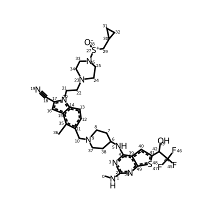 CNc1nc(NC2CCN(Cc3ccc4c(cc(C#N)n4CCN4CCN([S+]([O-])CC5CC5)CC4)c3C)CC2)c2cc(C(O)C(F)(F)F)sc2n1